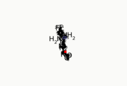 COC(=O)c1cn(-c2ccc(OC/C(=C(\C)N)N(N)c3ccc(C(F)F)cc3)nn2)cn1